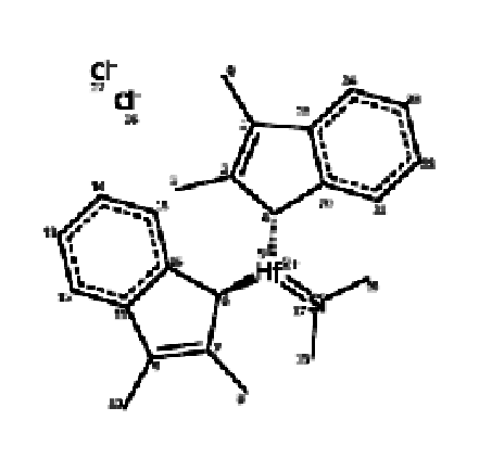 CC1=C(C)[C@@H]([Hf+2]([C@H]2C(C)=C(C)c3ccccc32)=[Si](C)C)c2ccccc21.[Cl-].[Cl-]